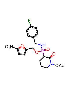 CC(=O)ON1CCCC(P(=O)(NCc2ccc(F)cc2)OCc2ccc([N+](=O)[O-])o2)C1=O